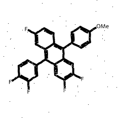 COc1ccc(-c2c3ccc(F)cc3c(-c3ccc(F)c(F)c3)c3cc(F)c(F)cc23)cc1